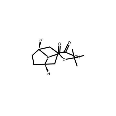 CC(C)(C)OC(=O)N1[C@@H]2CC[C@H]1C[C@H](C(=O)O)C2